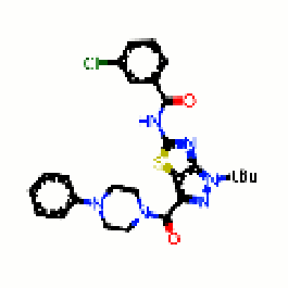 CC(C)(C)n1nc(C(=O)N2CCN(c3ccccc3)CC2)c2sc(NC(=O)c3cccc(Cl)c3)nc21